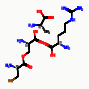 C[C@H](N)C(=O)O.N=C(N)NCCC[C@H](N)C(=O)O.N[C@@H](COC(=O)[C@@H](N)CS)C(=O)O